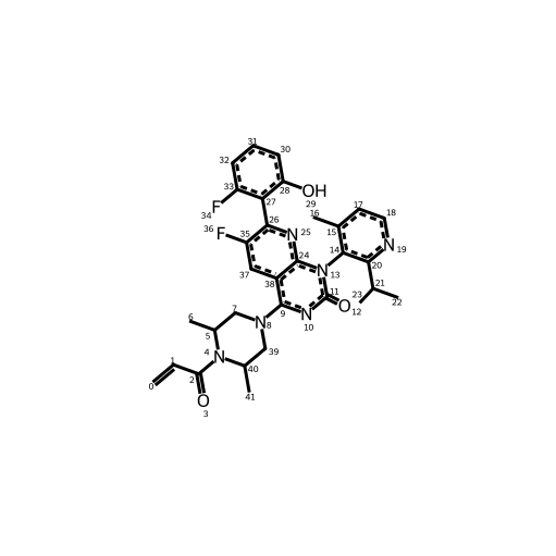 C=CC(=O)N1C(C)CN(c2nc(=O)n(-c3c(C)ccnc3C(C)C)c3nc(-c4c(O)cccc4F)c(F)cc23)CC1C